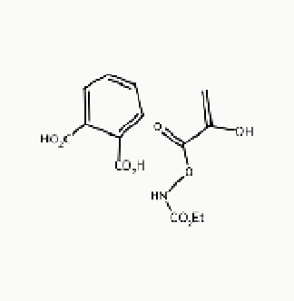 C=C(O)C(=O)ONC(=O)OCC.O=C(O)c1ccccc1C(=O)O